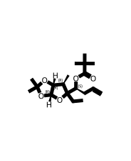 C=CC[C@H](OC(=O)C(C)(C)C)C1(CC)O[C@@H]2OC(C)(C)O[C@@H]2[C@H]1C